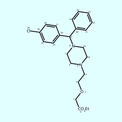 CCOC(=O)COCCN1CCN(C(c2ccccc2)c2ccc(Cl)cc2)CC1